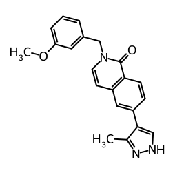 COc1cccc(Cn2ccc3cc(-c4c[nH]nc4C)ccc3c2=O)c1